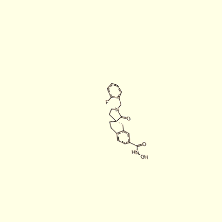 O=C(NO)c1ccc2c(c1)C[C@]1(CC2)CCN(Cc2ccccc2F)C1=O